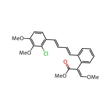 CO/C=C(/C(=O)OC)c1ccccc1/C=C/C=C/c1ccc(OC)c(OC)c1Cl